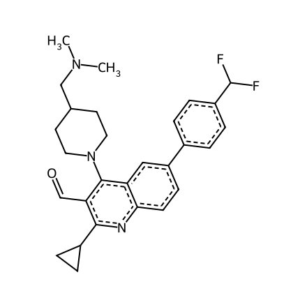 CN(C)CC1CCN(c2c(C=O)c(C3CC3)nc3ccc(-c4ccc(C(F)F)cc4)cc23)CC1